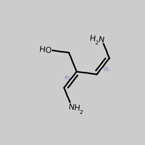 N/C=C\C(=C/N)CO